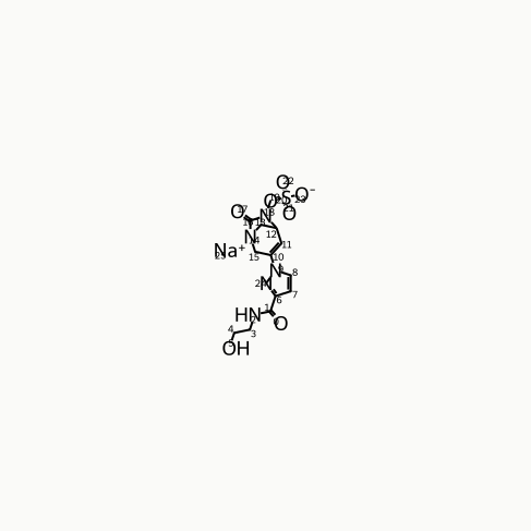 O=C(NCCO)c1ccn(C2=CC3CN(C2)C(=O)N3OS(=O)(=O)[O-])n1.[Na+]